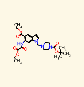 CCOC(=O)C(=O)Nc1cc2c(ccn2CN2CCN(C(=O)OC(C)(C)C)CC2)cc1C(=O)OCC